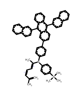 C=C(C)/C=C\C=C(/C)N(c1ccc(-c2ccc3c(-c4ccc5ccccc5c4)c4ccccc4c(-c4ccc5ccccc5c4)c3c2)cc1)c1ccc([Si](C)(C)C)cc1